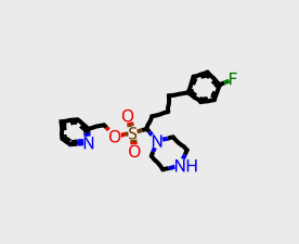 O=S(=O)(OCc1ccccn1)C(CCCc1ccc(F)cc1)N1CCNCC1